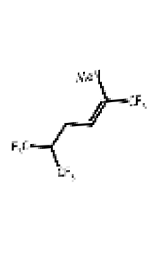 CN/C(=C\CC(C(F)(F)F)C(F)(F)F)C(F)(F)F